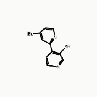 CC(C)(C)c1ccnc(-c2ccncc2S)c1